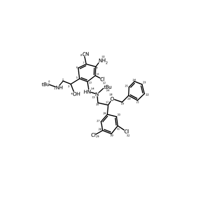 CC(C)(C)NCC(O)c1cc(C#N)c(N)c(Cl)c1NN(CC(OCc1ccccc1)c1cc(Cl)cc(Cl)c1)C(C)(C)C